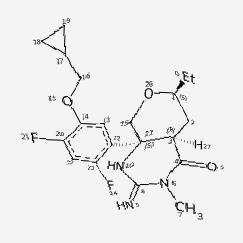 CC[C@H]1C[C@H]2C(=O)N(C)C(=N)N[C@@]2(c2cc(OCC3CC3)c(F)cc2F)CO1